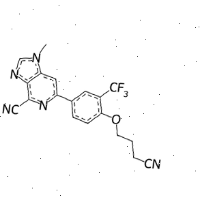 Cn1cnc2c(C#N)nc(-c3ccc(OCCCC#N)c(C(F)(F)F)c3)cc21